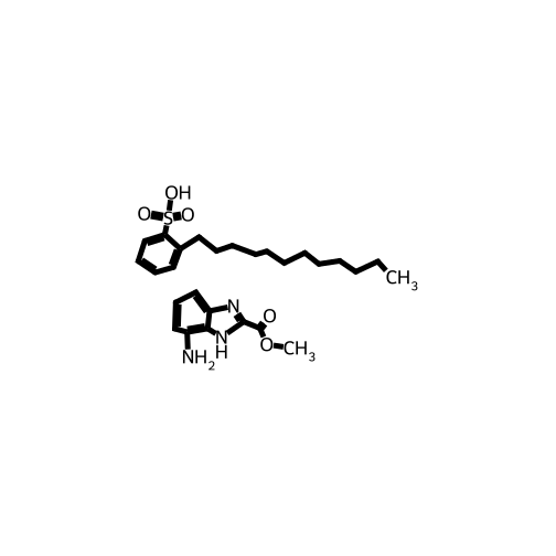 CCCCCCCCCCCCc1ccccc1S(=O)(=O)O.COC(=O)c1nc2cccc(N)c2[nH]1